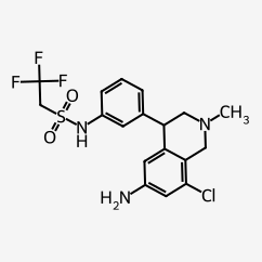 CN1Cc2c(Cl)cc(N)cc2C(c2cccc(NS(=O)(=O)CC(F)(F)F)c2)C1